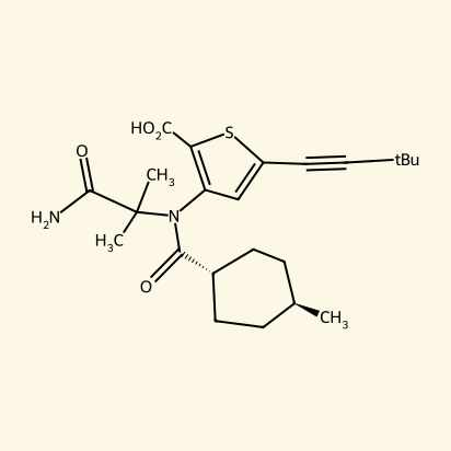 CC(C)(C)C#Cc1cc(N(C(=O)[C@H]2CC[C@H](C)CC2)C(C)(C)C(N)=O)c(C(=O)O)s1